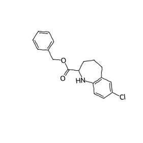 O=C(OCc1ccccc1)C1CCCc2cc(Cl)ccc2N1